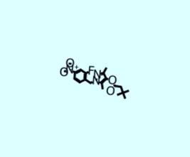 Cc1nn(Cc2ccc([N+](=O)[O-])cc2F)c(C)c1OC(=O)CC(C)(C)C